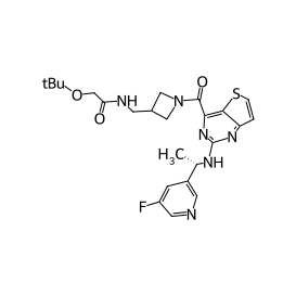 C[C@H](Nc1nc(C(=O)N2CC(CNC(=O)COC(C)(C)C)C2)c2sccc2n1)c1cncc(F)c1